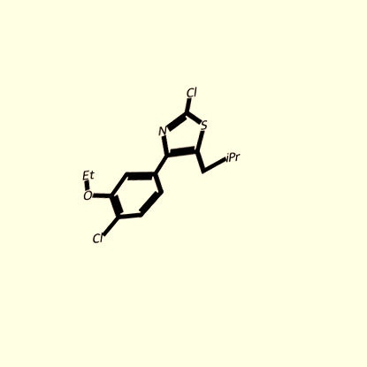 CCOc1cc(-c2nc(Cl)sc2CC(C)C)ccc1Cl